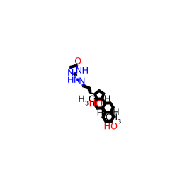 C[C@]12CC[C@H](O)C[C@H]1CC[C@@H]1[C@@H]2CC[C@]2(C)[C@@H](/C=C/C=N/NC3=NCC(=O)N3)CC[C@]12O